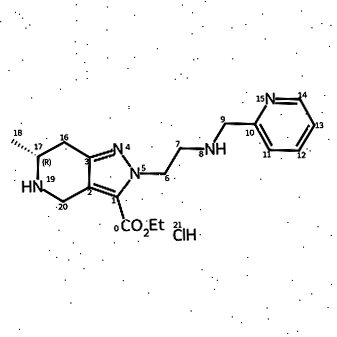 CCOC(=O)c1c2c(nn1CCNCc1ccccn1)C[C@@H](C)NC2.Cl